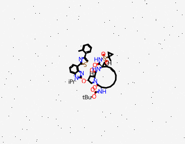 Cc1ccccc1-c1csc(-c2cccc3c2nc(O[C@@H]2C[C@H]4C(=O)N[C@]5(C(=O)NS(=O)(=O)C6(C)CC6)C[C@H]5/C=C\CCCCC[C@H](NC(=O)OC(C)(C)C)C(=O)N4C2)n3C(C)C)n1